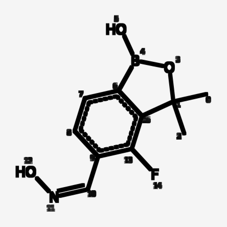 CC1(C)OB(O)c2ccc(/C=N\O)c(F)c21